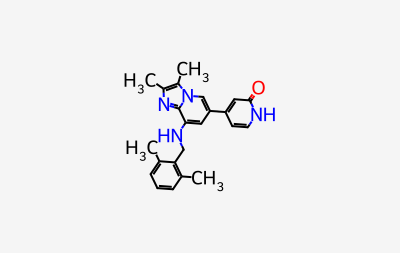 Cc1cccc(C)c1CNc1cc(-c2cc[nH]c(=O)c2)cn2c(C)c(C)nc12